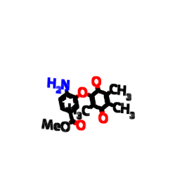 COC(=O)c1ccc(N)c(OC2=C(C)C(=O)C(C)=C(C)C2=O)c1